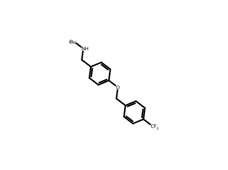 CCC(C)NCc1ccc(OCc2ccc(C(F)(F)F)cc2)cc1